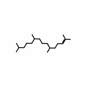 CC(C)=CCCC(C)CCCC(C)CCCC(C)C